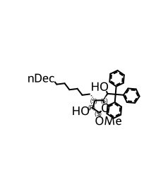 CCCCCCCCCCCCCCCC[C@H]1[C@@H](O)[C@@H](OC)O[C@@H]1C(O)C(c1ccccc1)(c1ccccc1)c1ccccc1